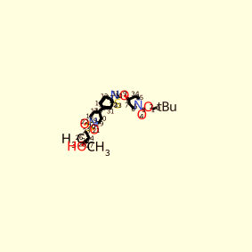 CC(C)(C)COC(=O)N1CCC(Oc2nc3ccc(C4=CCN(S(=O)(=O)CCC(C)(C)O)CC4)cc3s2)CC1